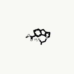 COC(=O)c1ccc2c(c1)-c1c(ccn1CC(C)N)C2